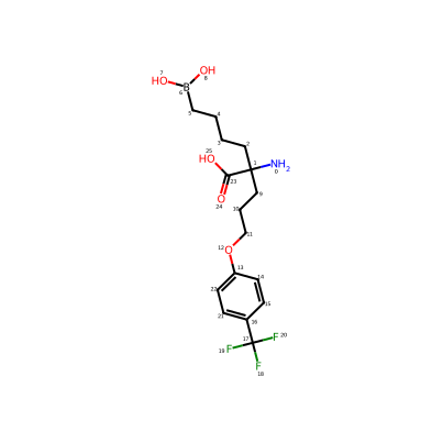 NC(CCCCB(O)O)(CCCOc1ccc(C(F)(F)F)cc1)C(=O)O